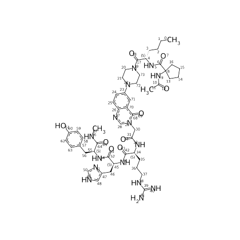 CCCC[C@H](NC(=O)C1(NC(C)=O)CCCC1)C(=O)N1CCN(c2ccc3ncn(CC(=O)N[C@@H](CCCNC(=N)N)C(=O)N[C@@H](Cc4c[nH]cn4)C(=O)N[C@@H](Cc4ccc(O)cc4)C(=O)NC)c(=O)c3c2)CC1